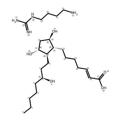 CCCCC[C@H](O)CC[C@@H]1[C@@H](CCCCC=CC(=O)O)[C@H](O)C[C@H]1O.N=C(N)NCCCCN